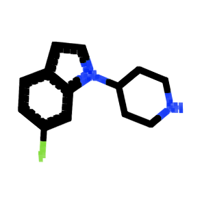 Fc1ccc2ccn(C3CCNCC3)c2c1